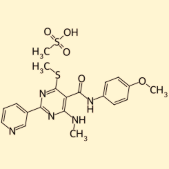 CNc1nc(-c2cccnc2)nc(SC)c1C(=O)Nc1ccc(OC)cc1.CS(=O)(=O)O